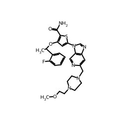 COCCN1CCN(Cc2cc3ncn(-c4cc(OC(C)c5ccccc5F)c(C(N)=O)s4)c3cn2)CC1